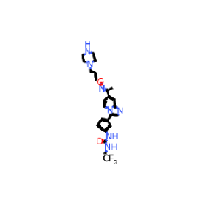 C/C(=N\OCCCN1CCNCC1)c1ccn2c(-c3cccc(NC(=O)NCC(F)(F)F)c3)cnc2c1